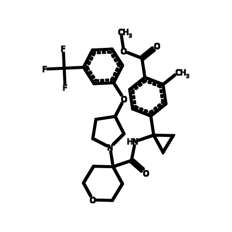 COC(=O)c1ccc(C2(NC(=O)C3(N4CCC(Oc5cccc(C(F)(F)F)c5)C4)CCOCC3)CC2)cc1C